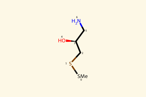 CSSC[C@@H](O)CN